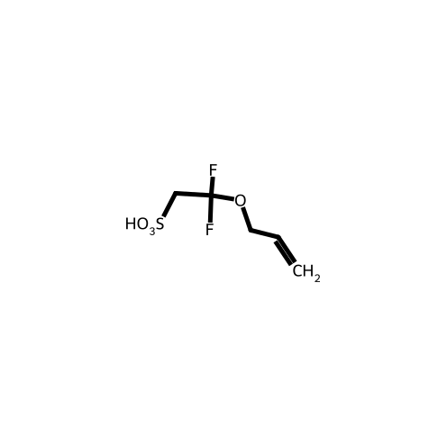 C=CCOC(F)(F)CS(=O)(=O)O